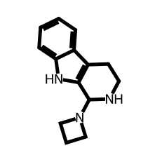 c1ccc2c3c([nH]c2c1)C(N1CCC1)NCC3